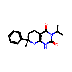 CC(C)n1c(=O)[nH]c2c(c1=O)CC[C@@](C)(c1ccccc1)N2